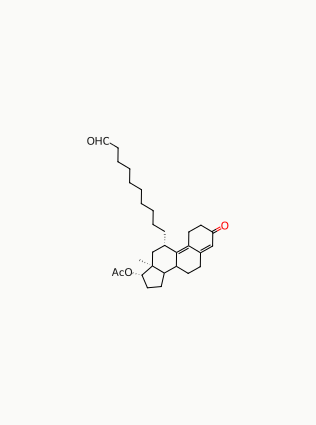 CC(=O)O[C@H]1CCC2C3CCC4=CC(=O)CCC4=C3[C@@H](CCCCCCCCCC=O)C[C@@]21C